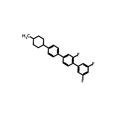 CC1CCC(c2ccc(-c3ccc(-c4cc(F)cc(F)c4)c(F)c3)cc2)CC1